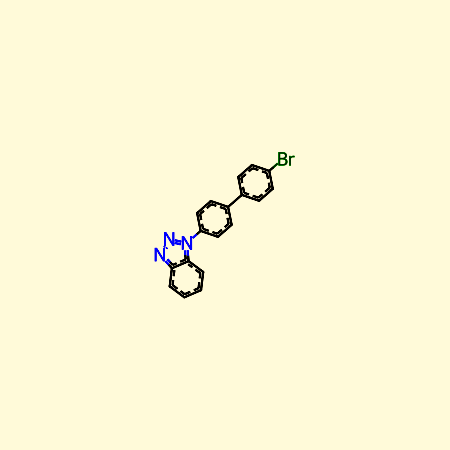 Brc1ccc(-c2ccc(-n3nnc4ccccc43)cc2)cc1